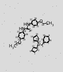 C1=CC[C]([Zr]([CH2]c2ccccc2)[C]2=CC=CC2)=C1.CCOc1ccc(NC(=S)Nc2ccc(OCC)cc2)cc1